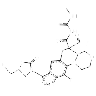 CNC(=O)NC(=O)C1(C=O)Cc2cc3c(N4CC(CF)SC4=O)noc3c(F)c2N2CCO[C@@H](C)C21